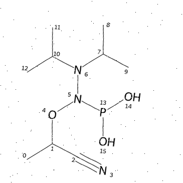 CC(C#N)ON(N(C(C)C)C(C)C)P(O)O